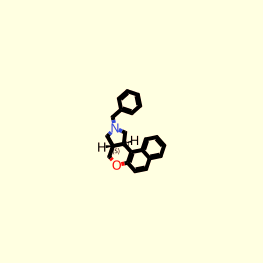 c1ccc(CN2C[C@H]3COc4ccc5ccccc5c4[C@@H]3C2)cc1